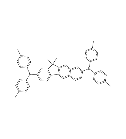 Cc1ccc(N(c2ccc(C)cc2)c2ccc3c(c2)C(C)(C)c2cc4cc(N(c5ccc(C)cc5)c5ccc(C)cc5)ccc4cc2-3)cc1